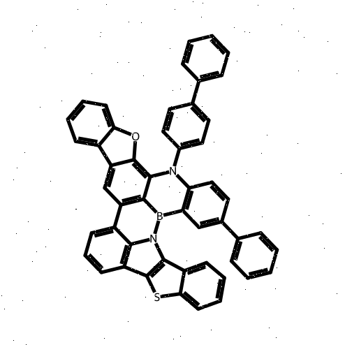 c1ccc(-c2ccc(N3c4ccc(-c5ccccc5)cc4B4c5c(cc6c(oc7ccccc76)c53)-c3cccc5c6sc7ccccc7c6n4c35)cc2)cc1